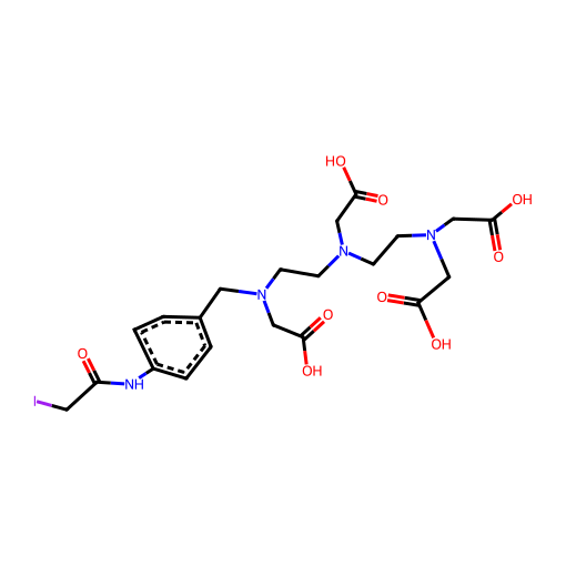 O=C(O)CN(CCN(CC(=O)O)CC(=O)O)CCN(CC(=O)O)Cc1ccc(NC(=O)CI)cc1